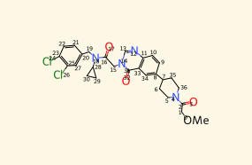 COCC(=O)N1CCC(c2ccc3ncn(CC(=O)N(Cc4ccc(Cl)c(Cl)c4)C4CC4)c(=O)c3c2)CC1